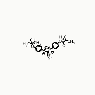 CC(C)C(=O)Oc1ccc(S(=O)(=O)C(=[N+]=[N-])S(=O)(=O)c2ccc(OC(C)(C)C)cc2)cc1